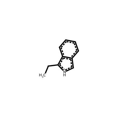 C[CH]c1[nH]cc2ccccc12